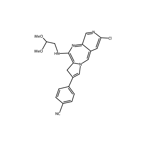 COC(CNC1=C2CC(c3ccc(C#N)cc3)=CN2C=c2cc(Cl)ncc2=N1)OC